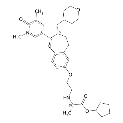 Cc1cc(C2=Nc3ccc(OCCN[C@@H](C)C(=O)OC4CCCC4)cc3CC[C@H]2CC2CCOCC2)cn(C)c1=O